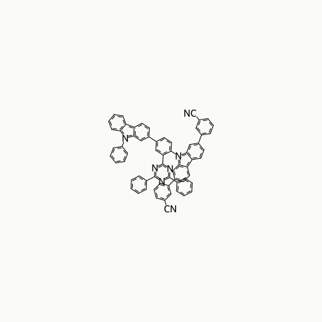 N#Cc1cccc(-c2ccc3c4ccc(-c5cccc(C#N)c5)cc4n(-c4ccc(-c5ccc6c7ccccc7n(-c7ccccc7)c6c5)cc4-c4nc(-c5ccccc5)nc(-c5ccccc5)n4)c3c2)c1